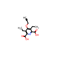 C#CCOc1c(CC)c(C(=O)O)nc(C(=O)O)c1CC